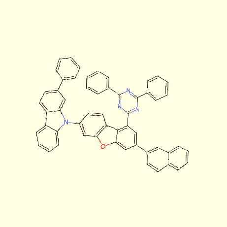 c1ccc(-c2ccc3c4ccccc4n(-c4ccc5c(c4)oc4cc(-c6ccc7ccccc7c6)cc(-c6nc(-c7ccccc7)nc(-c7ccccc7)n6)c45)c3c2)cc1